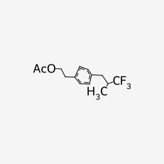 CC(=O)OCCc1ccc(CC(C)C(F)(F)F)cc1